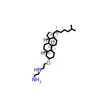 CC(C)CCC[C@@H](C)[C@H]1CC[C@H]2C3CC[C@H]4C[C@@H](OCCNCCN)CC[C@]4(C)[C@H]3CC[C@]12C